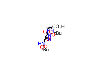 C[C@@H](/C=C/C(=O)O)NC(=O)[C@H](C[C@H](O)CCNC(=O)OC(C)(C)C)NC(=O)OC(C)(C)C